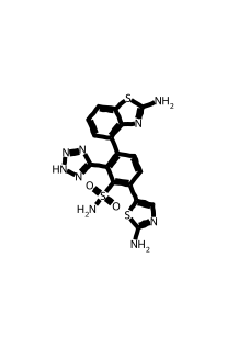 Nc1ncc(-c2ccc(-c3cccc4sc(N)nc34)c(-c3nn[nH]n3)c2S(N)(=O)=O)s1